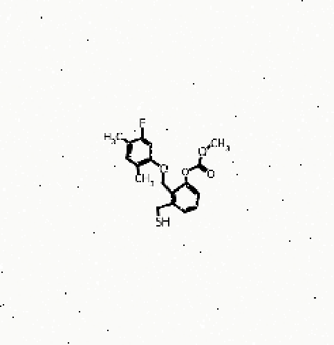 COC(=O)Oc1cccc(CS)c1COc1cc(F)c(C)cc1C